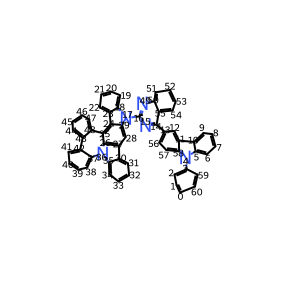 c1ccc(-n2c3ccccc3c3cc(-c4nc(-n5c6ccccc6c6c7c8c(cc65)c5ccccc5n8-c5ccccc5-c5ccccc5-7)nc5ccccc45)ccc32)cc1